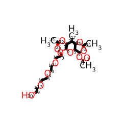 CC(=O)OCC1O[C@@H](OCCOCCOCCOCCO)C(OC(C)=O)[C@@H](C)[C@H]1OC(C)=O